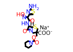 Nc1nc(C(=NO)C(=O)NC2C(=O)N3CC(COC(=O)N4CCCCC4)(C(=O)[O-])CS[C@H]23)cs1.[Na+]